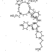 NCCCN1CCN(c2nc(Nc3ccc(CC4CN(CC(=O)O)CCN(CC(=O)O)CCN(CC(=O)O)CCN4CC(=O)O)cc3)nc(N3CCNCC3)n2)CC1